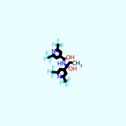 CCC(O)(NC(O)c1cc(C(F)(F)F)nc(C(F)(F)F)c1)c1cc(C(F)(F)F)nc(C(F)(F)F)c1